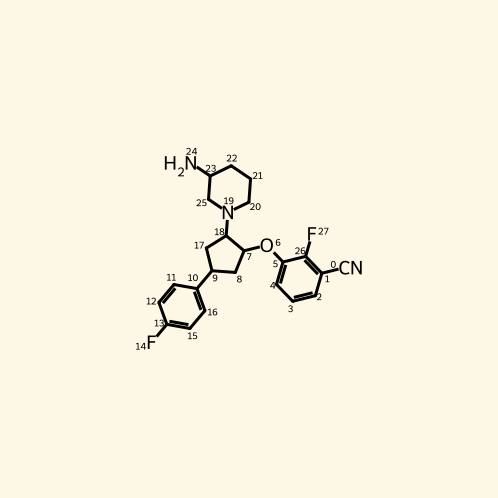 N#Cc1cccc(OC2CC(c3ccc(F)cc3)CC2N2CCCC(N)C2)c1F